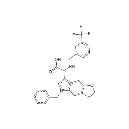 O=C(O)C(NCc1cccc(C(F)(F)F)c1)c1cn(Cc2ccccc2)c2cc3c(cc12)OCO3